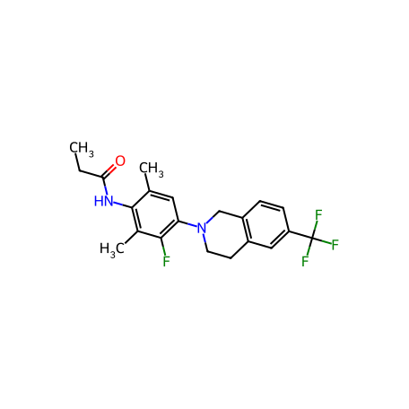 CCC(=O)Nc1c(C)cc(N2CCc3cc(C(F)(F)F)ccc3C2)c(F)c1C